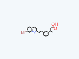 CC(CC(=O)O)c1cccc(/C=C/c2ccc3ccc(Br)cc3n2)c1